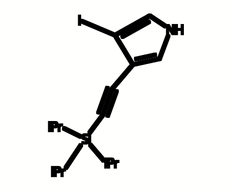 CC(C)[Si](C#Cc1c[nH]cc1I)(C(C)C)C(C)C